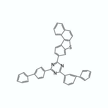 c1ccc(-c2ccc(-c3nc(-c4cccc(-c5ccccc5)c4)nc(-c4ccc5c(c4)sc4ccc6ccccc6c45)n3)cc2)cc1